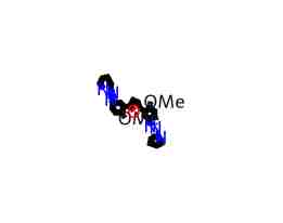 COc1ccc(/N=N/c2ccccn2)cc1-c1ccc(-c2cc(/N=N/c3ccccn3)ccc2OC)o1